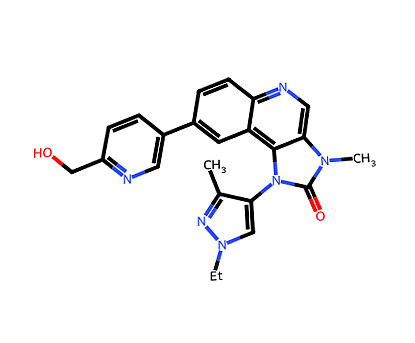 CCn1cc(-n2c(=O)n(C)c3cnc4ccc(-c5ccc(CO)nc5)cc4c32)c(C)n1